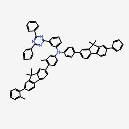 Cc1ccccc1-c1ccc2c(c1)C(C)(C)c1cc(-c3ccc(N(c4ccc(-c5ccc6c(c5)C(C)(C)c5cc(-c7ccccc7)ccc5-6)cc4)c4cccc(-c5nc(-c6ccccc6)nc(-c6ccccc6)n5)c4)cc3C)ccc1-2